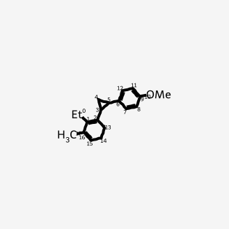 CCC1=C(C2CC2c2ccc(OC)cc2)[CH]CC=C1C